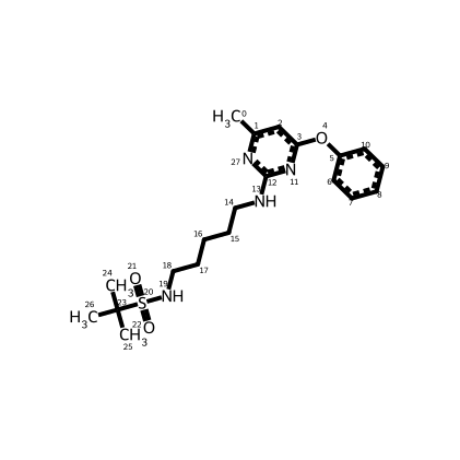 Cc1cc(Oc2ccccc2)nc(NCCCCCNS(=O)(=O)C(C)(C)C)n1